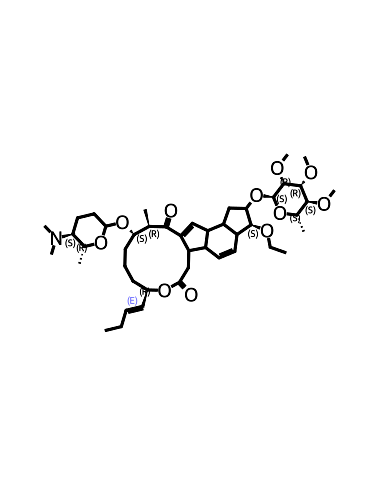 CC/C=C/[C@H]1CCC[C@H](OC2CC[C@H](N(C)C)[C@@H](C)O2)[C@@H](C)C(=O)C2=CC3C(C=CC4C3CC(O[C@@H]3O[C@@H](C)[C@H](OC)[C@@H](OC)[C@H]3OC)[C@H]4OCC)C2CC(=O)O1